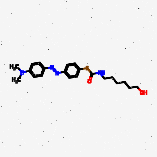 CN(C)c1ccc(N=Nc2ccc(SC(=O)NCCCCCCO)cc2)cc1